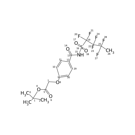 CC(C)(C)OC(=O)COc1ccc(C(=O)NS(=O)(=O)C(F)(F)C(F)(F)C(C)(F)F)cc1